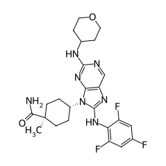 C[C@]1(C(N)=O)CC[C@H](n2c(Nc3c(F)cc(F)cc3F)nc3cnc(NC4CCOCC4)nc32)CC1